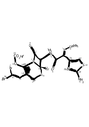 CON=C(C(=O)NC1C(=O)N2C(OC(=O)O)=C(C=C(Br)Br)CS[C@@H]12)c1csc(N)n1